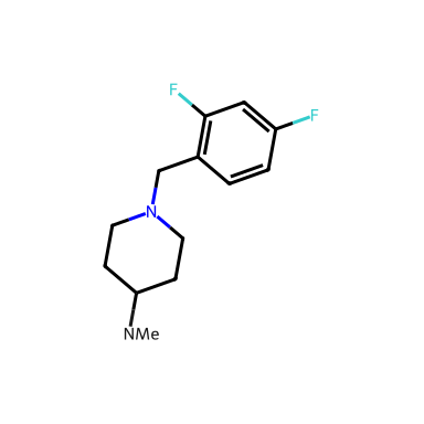 CNC1CCN(Cc2ccc(F)cc2F)CC1